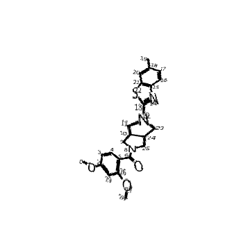 COc1ccc(C(=O)N2CC3CN(c4nc5ccc(C)cc5s4)CC3C2)c(OC)c1